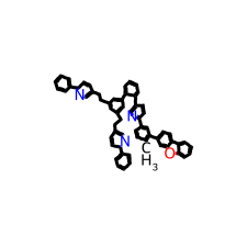 Cc1ccc(-c2ccc(-c3ccccc3-c3cc(CCc4ccc(-c5ccccc5)nc4)cc(CCc4ccc(-c5ccccc5)nc4)c3)cn2)cc1-c1ccc2c(c1)oc1ccccc12